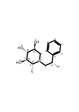 C[C@H](CN1C[C@H](O)[C@@H](O)[C@H](O)[C@H]1C)c1ccccc1